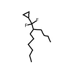 CCCCCCC(CCCC)C(F)(F)C1CC1